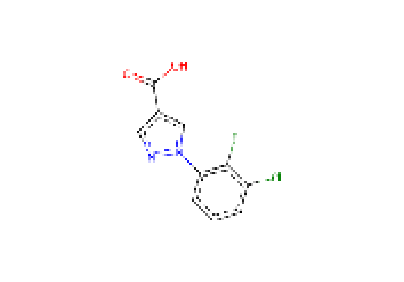 O=C(O)c1cnn(-c2cccc(Cl)c2F)c1